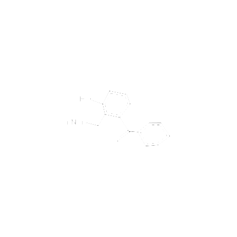 CCCCCCCCCCc1c(O)cccc1C(=O)c1ccccc1